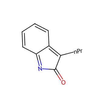 CCCC1=c2ccccc2=NC1=O